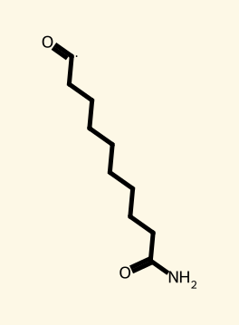 NC(=O)CCCCCCCC[C]=O